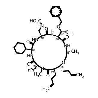 C=CCC[C@H]1OC[C@@H](C)NC(=O)[C@H]([C@H](C)OCc2ccccc2)NC(=O)[C@H](CNC(=O)O)NC(=O)[C@H](C2CCCCC2)NC(=O)[C@H](CCC)N(C)C(=O)[C@@H]1CCC=C